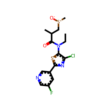 CCN(C(=O)C(C)C[S+](C)[O-])c1sc(-c2cncc(F)c2)nc1Cl